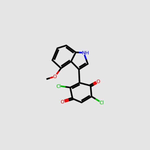 COc1cccc2[nH]cc(C3=C(Cl)C(=O)C=C(Cl)C3=O)c12